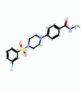 CNC(=O)c1ccc(N2CCN(S(=O)(=O)c3cccc(F)c3)CC2)cc1